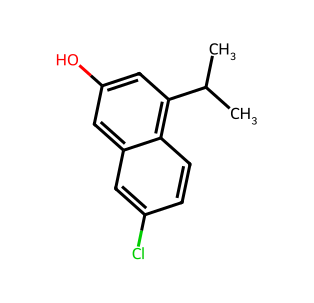 CC(C)c1cc(O)cc2cc(Cl)ccc12